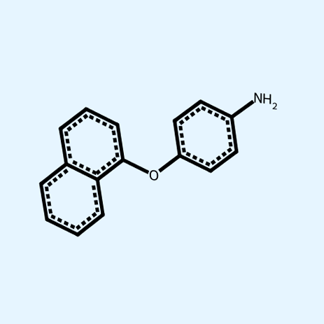 Nc1ccc(Oc2cccc3ccccc23)cc1